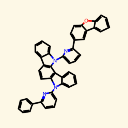 c1ccc(-c2cccc(-n3c4ccccc4c4c3ccc3c5ccccc5n(-c5cccc(-c6ccc7oc8ccccc8c7c6)n5)c34)n2)cc1